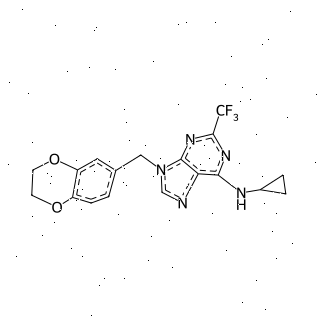 FC(F)(F)c1nc(NC2CC2)c2ncn(Cc3ccc4c(c3)OCCO4)c2n1